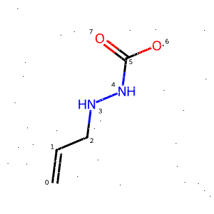 C=CCNNC([O])=O